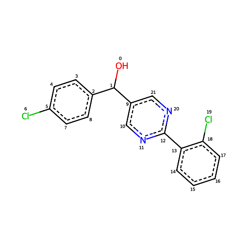 OC(c1ccc(Cl)cc1)c1cnc(-c2ccccc2Cl)nc1